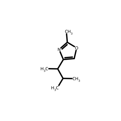 Cc1nc(C(C)C(C)C)co1